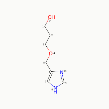 OCCCOCc1c[nH]cn1